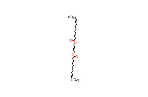 CCCCCCCC/C=C/CCCCCCCC(=O)OC/C=C/COC(=O)CCCCCCC/C=C/CCCCCCCC